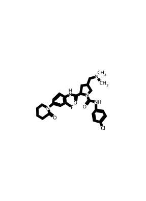 CN(C)CC1CC(C(=O)Nc2ccc(N3CCCCC3=O)cc2F)N(C(=O)Nc2ccc(Cl)cc2)C1